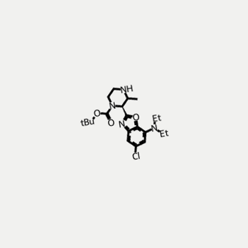 CCN(CC)c1cc(Cl)cc2nc([C@@H]3C(C)NCCN3C(=O)OC(C)(C)C)oc12